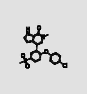 Cn1cc(-c2cc(S(C)(=O)=O)ccc2Oc2ccc(Cl)cc2)c2cc[nH]c2c1=O